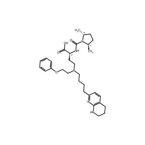 C[C@@H]1CC[C@@H](C)N1C(=O)N[C@@H](CCN(CCCCc1ccc2c(n1)NCCC2)CCOc1ccccc1)C(=O)O